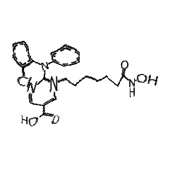 O=C(CCCCCCN1C=C(C(=O)O)C=NC1N(c1ccccc1)c1ccccc1Cl)NO